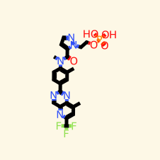 Cc1cc(-c2ncc3nc(C(F)(F)F)cc(C)c3n2)ccc1N(C)C(=O)c1ccnn1CCOP(=O)(O)O